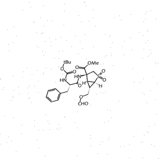 COC(=O)[C@]1(NC(=O)[C@H](Cc2ccccc2)NC(=O)OC(C)(C)C)CS(=O)(=O)[C@H]2[C@H](COC=O)[C@H]21